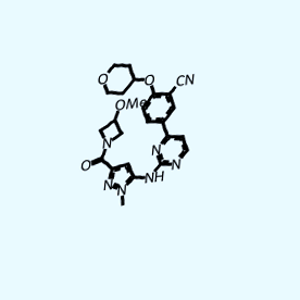 COC1CN(C(=O)c2cc(Nc3nccc(-c4ccc(OC5CCOCC5)c(C#N)c4)n3)n(C)n2)C1